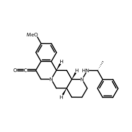 COc1ccc2c(c1)C(=C=O)CN1C[C@H]3CCCN(N[C@H](C)c4ccccc4)[C@H]3C[C@@H]21